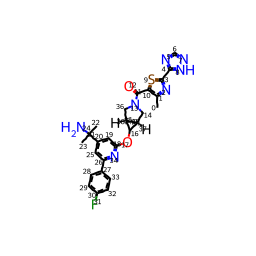 Cc1nc(-c2ncn[nH]2)sc1C(=O)N1C[C@@H]2C(Oc3cc(C(C)(C)N)cc(-c4ccc(F)cc4)n3)[C@@H]2C1